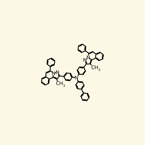 Cc1c(-c2ccc(N(c3ccc(-c4ccccc4)cc3)c3ccc(-c4nn5c(-c6ccccc6)cc6ccccc6c5c4C)cc3)cc2)nn2c(-c3ccccc3)cc3ccccc3c12